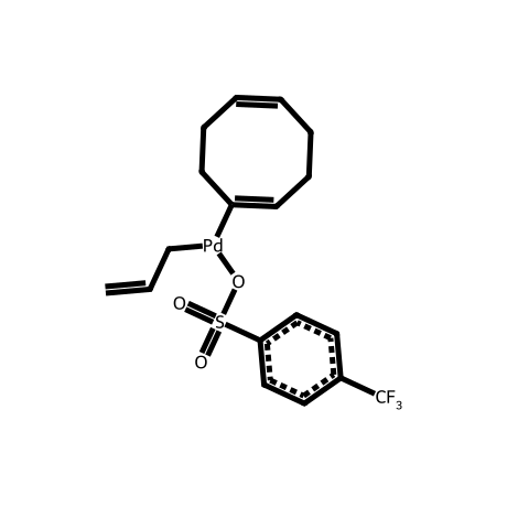 C=C[CH2][Pd]([O]S(=O)(=O)c1ccc(C(F)(F)F)cc1)[C]1=CCCC=CCC1